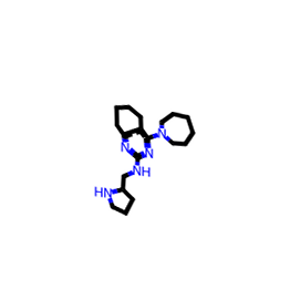 C1CCCN(c2nc(NCC3CCCN3)nc3c2CCCC3)CC1